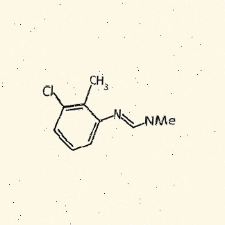 CNC=Nc1cccc(Cl)c1C